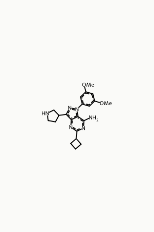 COc1cc(OC)cc(-n2nc(C3CCNC3)c3nc(C4CCC4)nc(N)c32)c1